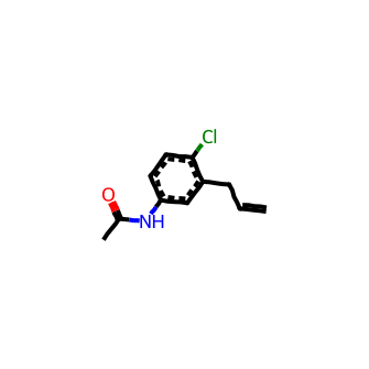 C=CCc1cc(NC(C)=O)ccc1Cl